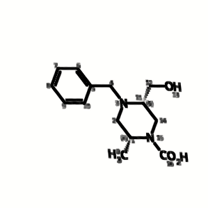 C[C@@H]1CN(Cc2ccccc2)[C@H](CO)CN1C(=O)O